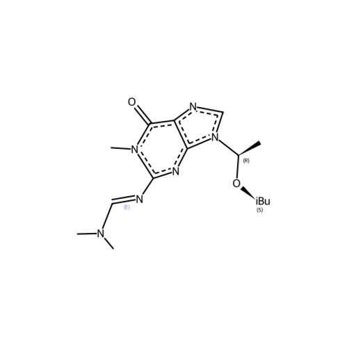 CC[C@H](C)O[C@H](C)n1cnc2c(=O)n(C)c(/N=C/N(C)C)nc21